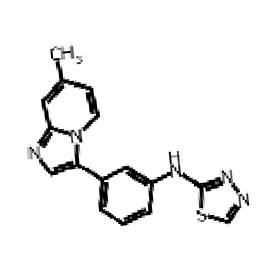 Cc1ccn2c(-c3cccc(Nc4nncs4)c3)cnc2c1